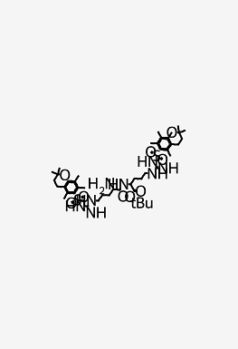 Cc1c(C)c(S(=O)(=O)NC(=N)NCCCC(N)C(=O)NC(CCCNC(=N)NS(=O)(=O)c2c(C)c(C)c3c(c2C)CCC(C)(C)O3)C(=O)OC(C)(C)C)c(C)c2c1OC(C)(C)CC2